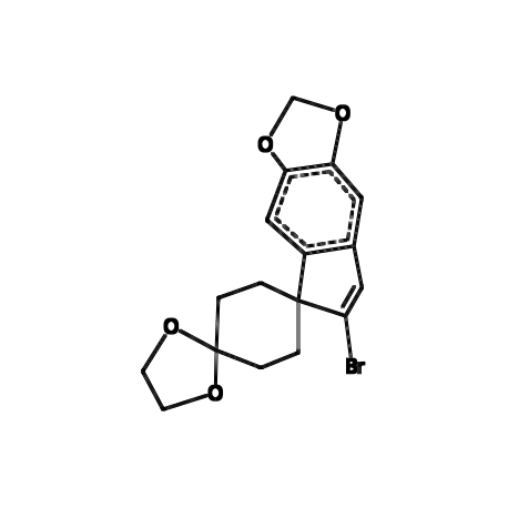 BrC1=Cc2cc3c(cc2C12CCC1(CC2)OCCO1)OCO3